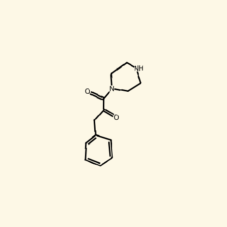 O=C(Cc1ccccc1)C(=O)N1CCNCC1